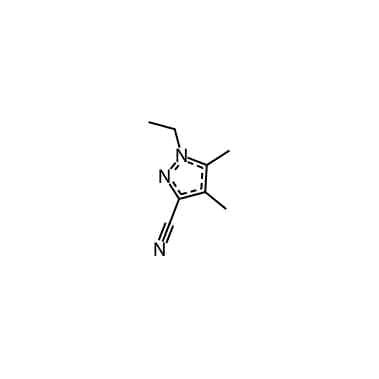 CCn1nc(C#N)c(C)c1C